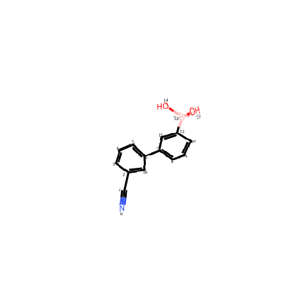 N#Cc1cccc(-c2cccc(B(O)O)c2)c1